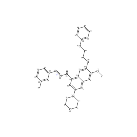 COc1cc2nc(N3CCOCC3)nc(N/N=C/c3cccc(C)c3)c2cc1OCCOc1ccccc1